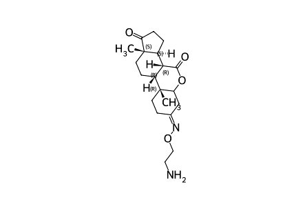 C[C@]12CCC(=NOCCN)CC1OC(=O)[C@@H]1[C@H]2CC[C@]2(C)C(=O)CC[C@@H]12